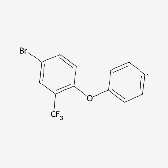 FC(F)(F)c1cc(Br)ccc1Oc1cc[c]cc1